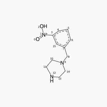 O=[N+](O)c1cccc(CN2CCNCC2)c1